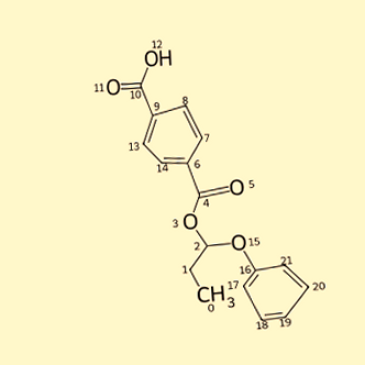 CCC(OC(=O)c1ccc(C(=O)O)cc1)Oc1ccccc1